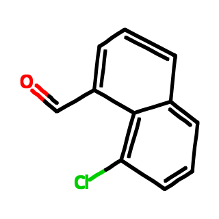 O=Cc1cccc2cccc(Cl)c12